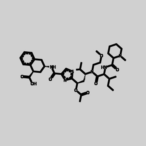 CCC(C)C(NC(=O)C1CCCCN1C)C(=O)N(CCOC)[C@H](C[C@@H](OC(C)=O)c1nc(C(=O)N[C@H]2Cc3ccccc3[C@H](C(=O)O)C2)cs1)C(C)C